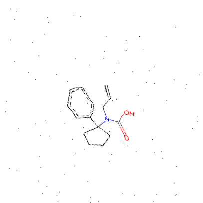 C=CCN(C(=O)O)C1(c2ccccc2)CCCC1